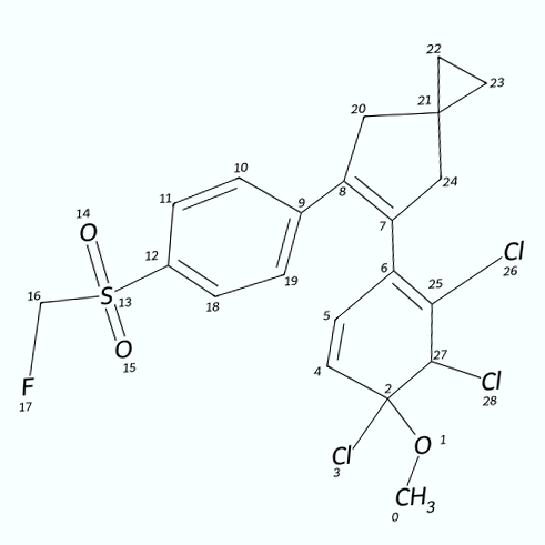 COC1(Cl)C=CC(C2=C(c3ccc(S(=O)(=O)CF)cc3)CC3(CC3)C2)=C(Cl)C1Cl